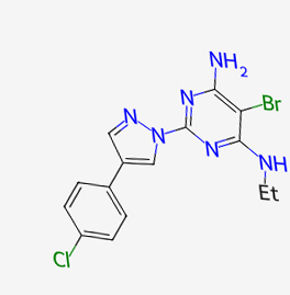 CCNc1nc(-n2cc(-c3ccc(Cl)cc3)cn2)nc(N)c1Br